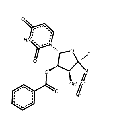 CC[C@@]1(N=[N+]=[N-])O[C@@H](n2ccc(=O)[nH]c2=O)[C@H](OC(=O)c2ccccc2)[C@@H]1O